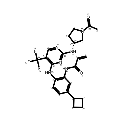 C=CC(=O)Nc1cc(C2CCC2)ccc1Nc1nc(N[C@@H]2CCN(C(C)=O)C2)ncc1C(F)(F)F